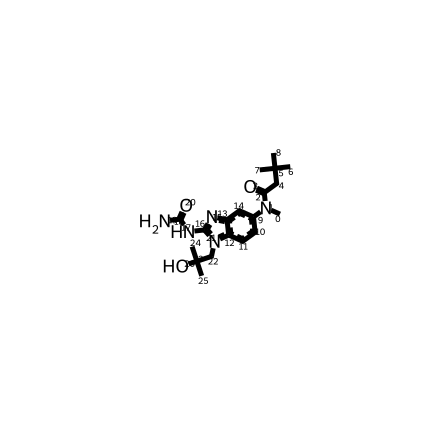 CN(C(=O)CC(C)(C)C)c1ccc2c(c1)nc(NC(N)=O)n2CC(C)(C)O